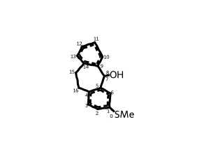 CSc1ccc2c(c1)C(O)c1ccccc1CC2